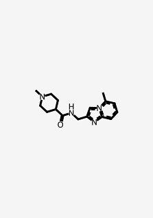 Cc1cccc2nc(CNC(=O)C3CCN(C)CC3)cn12